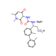 CC1=CC(=O)C(NC(=O)NC(CC(=O)O)c2cccc(-c3ccccc3C)c2C)C(=O)N1C.[NaH]